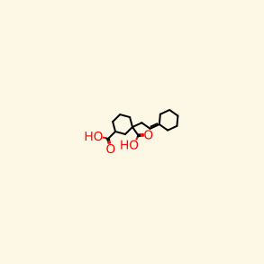 O=C(O)C1CCCC(CC=C2CCCCC2)(C(=O)O)C1